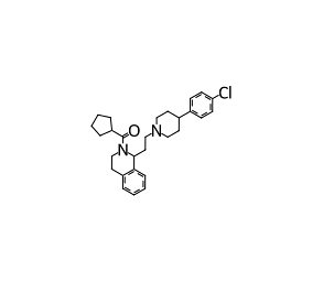 O=C(C1CCCC1)N1CCc2ccccc2C1CCN1CCC(c2ccc(Cl)cc2)CC1